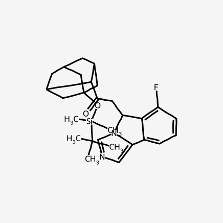 CC(C)(C)[Si](C)(C)OC12CC3CC(C1)C(C(=O)CC1c4c(F)cccc4-c4cncn41)C(C3)C2